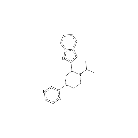 CC(C)N1CCN(c2cnccn2)CC1c1cc2ccccc2o1